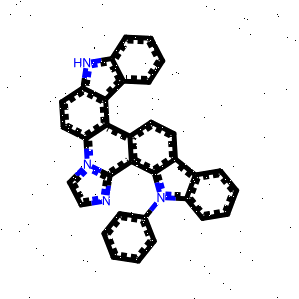 c1ccc(-n2c3ccccc3c3ccc4c5c6c(ccc5n5ccnc5c4c32)[nH]c2ccccc26)cc1